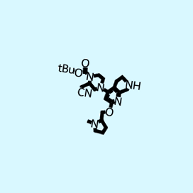 CN1CCCC1COc1cc(N2CCN(C(=O)OC(C)(C)C)C(CC#N)C2)c2c(n1)CNCC2